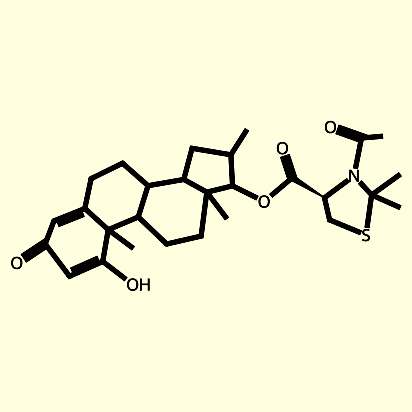 CC(=O)N1[C@H](C(=O)OC2C(C)CC3C4CCC5=CC(=O)C=C(O)C5(C)C4CCC32C)CSC1(C)C